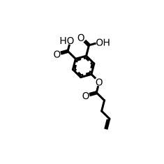 C=CCCC(=O)Oc1ccc(C(=O)O)c(C(=O)O)c1